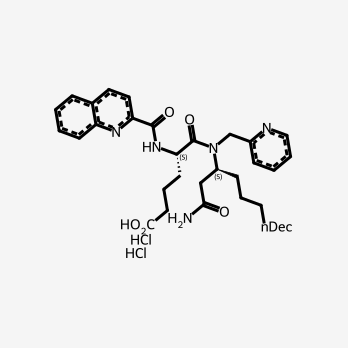 CCCCCCCCCCCCC[C@@H](CC(N)=O)N(Cc1ccccn1)C(=O)[C@H](CCCC(=O)O)NC(=O)c1ccc2ccccc2n1.Cl.Cl